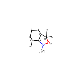 CC1CCCC2C1N(C(C)C)OC2(C)C